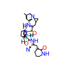 Cc1cncc(N[C@@H](CC2CC2)C(=O)N2[C@H]3CC[C@@H]([C@@H]2C(=O)N[C@@H](C#N)C[C@@H]2CCCNC2=O)C(F)(F)C3)c1